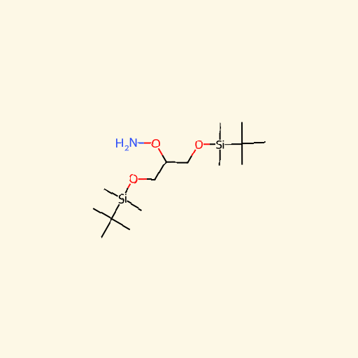 CC(C)(C)[Si](C)(C)OCC(CO[Si](C)(C)C(C)(C)C)ON